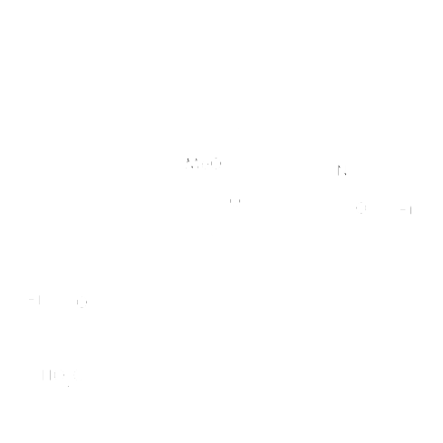 CCO/N=C(\COc1ccc(CC(OCC)C(=O)O)cc1)c1ccccc1OC